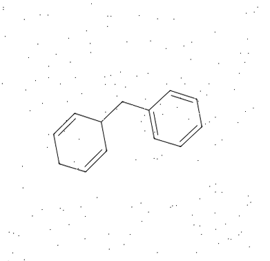 C1=CC(Cc2ccccc2)C=CC1